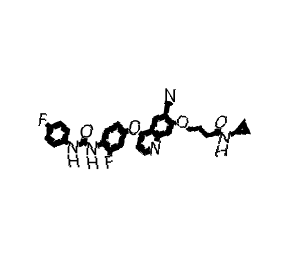 N#Cc1cc2c(Oc3ccc(NC(=O)Nc4ccc(F)cc4)c(F)c3)ccnc2cc1OCCCC(=O)NC1CC1